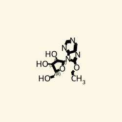 CCOc1nc2cncnc2n1[C@@H]1O[C@H](CO)[C@@H](O)[C@H]1O